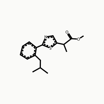 COC(=O)C(C)c1cnc(-c2ccccc2CC(C)C)s1